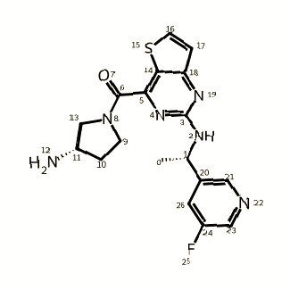 C[C@H](Nc1nc(C(=O)N2CC[C@H](N)C2)c2sccc2n1)c1cncc(F)c1